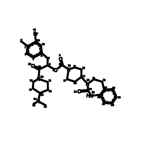 Cc1ccc(CC(OC(=O)N2CCC(N3CCc4ccccc4NC3=O)CC2)C(=O)N2CCC(N(C)C)CC2)cc1Br